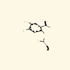 C=CC(F)Oc1cc(F)c(N)cc1C(=C)C